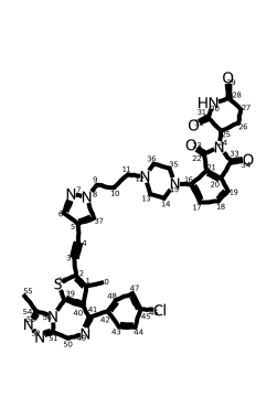 Cc1c(C#Cc2cnn(CCCN3CCN(c4cccc5c4C(=O)N(C4CCC(=O)NC4=O)C5=O)CC3)c2)sc2c1C(c1ccc(Cl)cc1)=NCc1nnc(C)n1-2